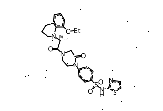 CCOc1cccc2c1N([C@H](C)C(=O)N1CCN(c3ccc(S(=O)(=O)Nc4nccs4)cc3)C(=O)C1)CCC2